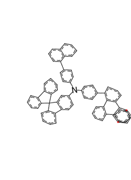 c1ccc(-c2ccccc2-c2c(-c3ccccc3)cccc2-c2ccc(N(c3ccc(-c4cccc5ccccc45)cc3)c3ccc4c(c3)C3(c5ccccc5-c5ccccc53)c3ccccc3-4)cc2)cc1